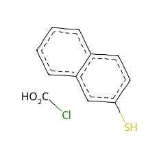 O=C(O)Cl.Sc1ccc2ccccc2c1